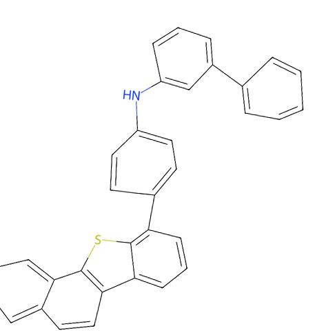 c1ccc(-c2cccc(Nc3ccc(-c4cccc5c4sc4c6ccccc6ccc54)cc3)c2)cc1